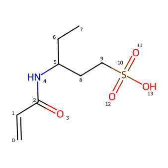 C=CC(=O)NC(CC)CCS(=O)(=O)O